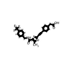 Cc1nc(C#Cc2ccc(CC(=O)O)cc2)sc1C(=O)NCc1ccc(C(F)(F)F)cc1